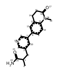 CC([CH]c1cncc(-c2ccc3c(c2)CCC(=O)N3C)c1)C(N)=O